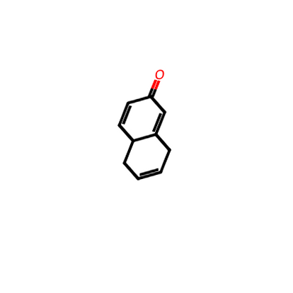 O=C1C=CC2CC=CCC2=C1